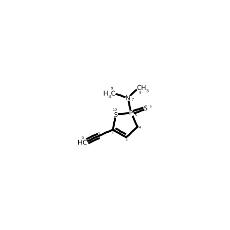 C#CC1=CCP(=S)(N(C)C)S1